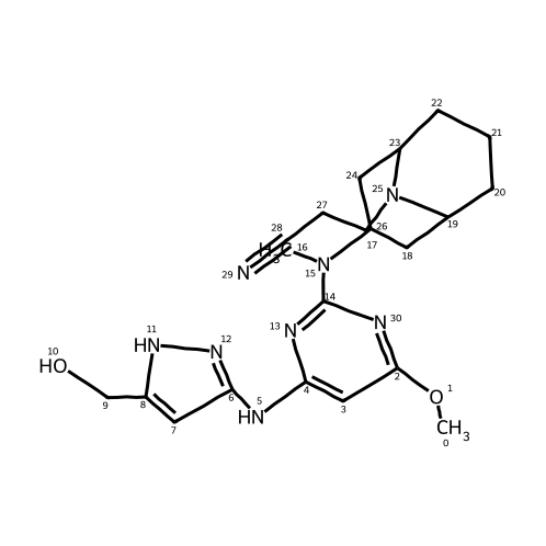 COc1cc(Nc2cc(CO)[nH]n2)nc(N(C)C2CC3CCCC(C2)N3CCC#N)n1